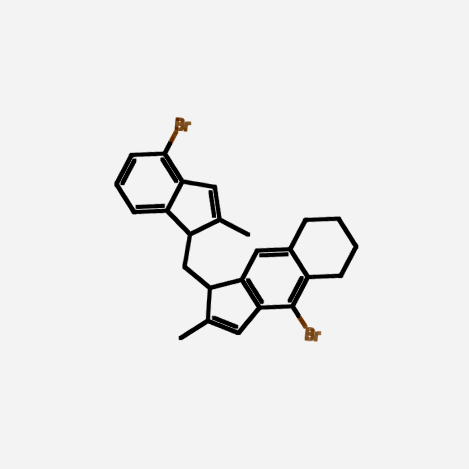 CC1=Cc2c(Br)cccc2C1CC1C(C)=Cc2c1cc1c(c2Br)CCCC1